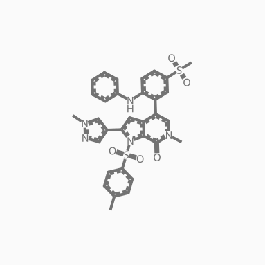 Cc1ccc(S(=O)(=O)n2c(-c3cnn(C)c3)cc3c(-c4cc(S(C)(=O)=O)ccc4Nc4ccccc4)cn(C)c(=O)c32)cc1